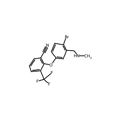 CNCc1cc(Oc2c(C#N)cccc2C(F)(F)F)ccc1Br